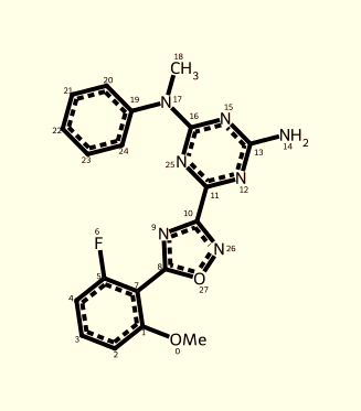 COc1cccc(F)c1-c1nc(-c2nc(N)nc(N(C)c3ccccc3)n2)no1